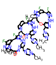 CCN1CCN(Cc2cnc3cc2NC(=O)CC(Cc2nc4nc(c2F)-c2cc(F)c5nc(C)n(c5c2)C(C)(C)CC(=O)Nc2cc(ncc2CN2CCN(CC)CC2)N4)n2ccc4ccc(cc42)-c2nc(nc(CC4CCOc5cc(ncc5CN5CCN(CC)CC5)Nc5ncc(F)c(n5)-c5cc(F)c6nc(C)n4c6c5)c2F)N3)CC1